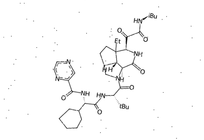 CC[C@H](C)NC(=O)C(=O)[C@H]1NC(=O)[C@@H]2[C@@H]3[C@@H](CCC31CC)CN2C(=O)[C@@H](NC(=O)[C@@H](NC(=O)c1cnccn1)C1CCCCC1)C(C)(C)C